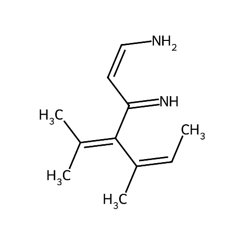 C/C=C(/C)C(C(=N)/C=C\N)=C(C)C